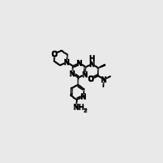 C[C@H](Nc1nc(-c2ccc(N)nc2)nc(N2CCOCC2)n1)C(=O)N(C)C